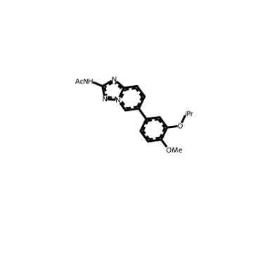 COc1ccc(-c2ccc3nc(NC(C)=O)nn3c2)cc1OC(C)C